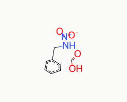 O=CO.O=[N+]([O-])NCc1ccccc1